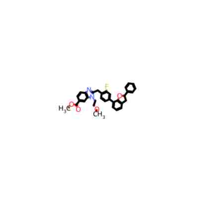 COCCn1c(Cc2ccc(-c3cccc4c3OC(c3ccccc3)C4)cc2F)nc2ccc(C(=O)OC)cc21